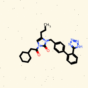 CCCc1cn(C(=O)CC2CCCCC2)c(=O)n1Cc1ccc(-c2ccccc2-c2nnn[nH]2)cc1